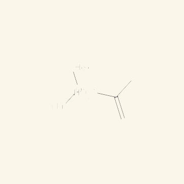 C=C(C)C(=O)O.CCCCCCOCCC